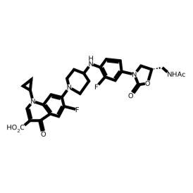 CC(=O)NC[C@H]1CN(c2ccc(NC3CCN(c4cc5c(cc4F)c(=O)c(C(=O)O)cn5C4CC4)CC3)c(F)c2)C(=O)O1